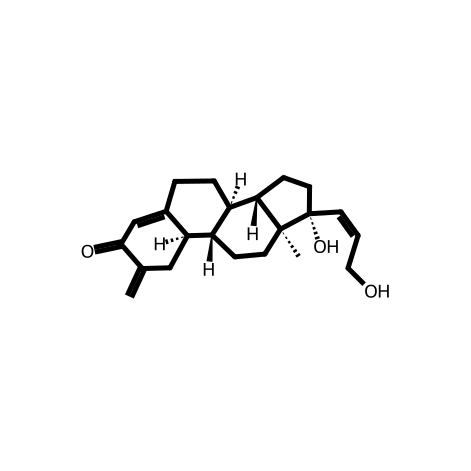 C=C1C[C@H]2C(=CC1=O)CC[C@@H]1[C@@H]2CC[C@@]2(C)[C@H]1CC[C@@]2(O)/C=C\CO